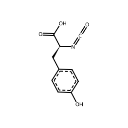 O=C=N[C@@H](Cc1ccc(O)cc1)C(=O)O